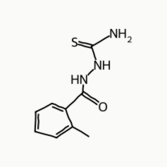 Cc1ccccc1C(=O)NNC(N)=S